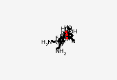 Cc1c(S(=O)(=O)NC(c2ccc(C#N)c(F)c2)P(=O)(O)O)sc2c(F)c(OCCCN)c(OCCCN)c(F)c12